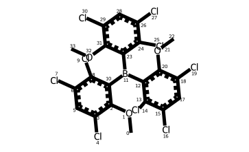 COc1c(Cl)cc(Cl)c(Cl)c1B(c1c(Cl)c(Cl)cc(Cl)c1OC)c1c(Cl)c(Cl)cc(Cl)c1OC